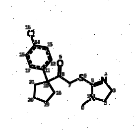 CN1CCN=C1SCC(=O)C1(c2ccc(Cl)cc2)CCCC1